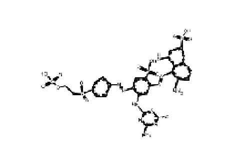 Nc1nc(Cl)nc(Nc2cc(/N=N/c3c(N)ccc4cc(S(=O)(=O)O)cc(O)c34)c(S(=O)(=O)O)cc2/N=N/c2ccc(S(=O)(=O)CCOS(=O)(=O)O)cc2)n1